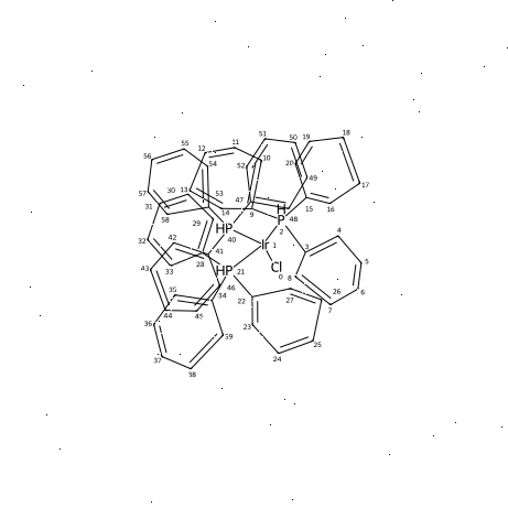 [Cl][Ir]([PH](c1ccccc1)(c1ccccc1)c1ccccc1)([PH](c1ccccc1)(c1ccccc1)c1ccccc1)[PH](c1ccccc1)(c1ccccc1)c1ccccc1